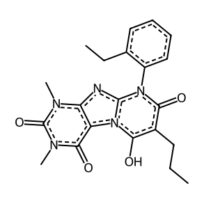 CCCc1c(O)n2c3c(=O)n(C)c(=O)n(C)c3nc2n(-c2ccccc2CC)c1=O